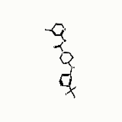 Cc1ccnc(NC(=S)N2CCC(Nc3cc#cc(C(F)(F)F)c3)CC2)c1